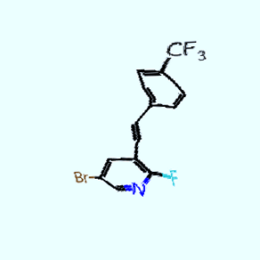 Fc1ncc(Br)cc1C=Cc1ccc(C(F)(F)F)cc1